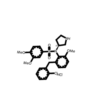 COc1ccc(S(=O)(=O)N(c2c(Cc3ccccc3Cl)cccc2OC)[C@H]2CCNC2)cc1OC.Cl